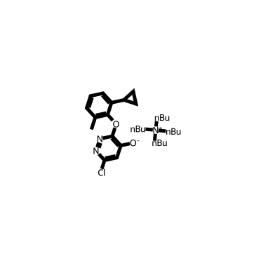 CCCC[N+](CCCC)(CCCC)CCCC.Cc1cccc(C2CC2)c1Oc1nnc(Cl)cc1[O-]